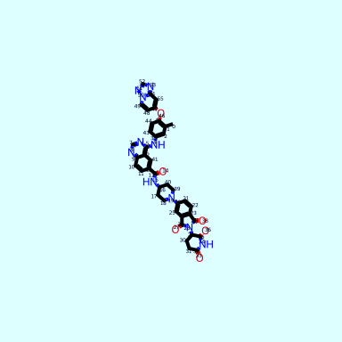 Cc1cc(Nc2ncnc3ccc(C(=O)NC4CCN(c5ccc6c(c5)C(=O)N(C5CCC(=O)NC5=O)C6=O)CC4)cc23)ccc1Oc1ccn2ncnc2c1